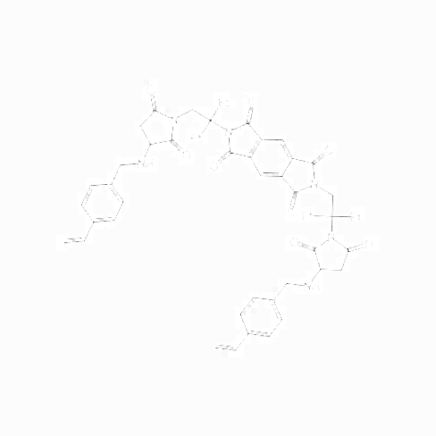 C=Cc1ccc(CNC2CC(=O)N(CC(CC)(CC)n3c(=O)c4cc5c(=O)n(CC(CC)(CC)N6C(=O)CC(NCc7ccc(C=C)cc7)C6=O)c(=O)c5cc4c3=O)C2=O)cc1